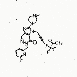 CC#CCn1c(N2CCNCC2)nc2cnn(Cc3cccc(F)n3)c(=O)c21.O=C(O)C(F)(F)F